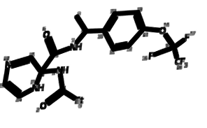 CCC(=O)NC1(C(=O)NC(C)c2ccc(OC(F)(F)C(F)(F)F)cc2)C=NC=CN1